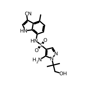 Cc1ccc(NS(=O)(=O)c2cnn(C(C)(C)CO)c2N)c2[nH]cc(C#N)c12